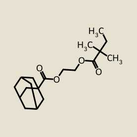 CCC(C)(C)C(=O)OCCOC(=O)C12CC3CC(CC(C3)C1)C2